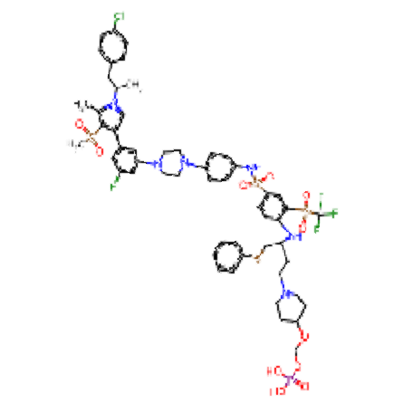 Cc1c(S(C)(=O)=O)c(-c2cc(F)cc(N3CCN(c4ccc(NS(=O)(=O)c5ccc(NC(CCN6CCC(OCOP(=O)(O)O)CC6)CSc6ccccc6)c(S(=O)(=O)C(F)(F)F)c5)cc4)CC3)c2)cn1C(C)Cc1ccc(Cl)cc1